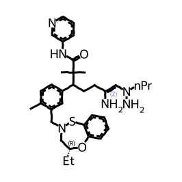 CCCN(N)/C=C(\N)CCC(c1ccc(C)c(CN2C[C@@H](CC)Oc3ccccc3S2)c1)C(C)(C)C(=O)Nc1cccnc1